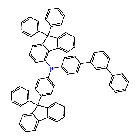 c1ccc(-c2cccc(-c3ccc(N(c4ccc(C5(c6ccccc6)c6ccccc6-c6ccccc65)cc4)c4cccc5c4-c4ccccc4C5(c4ccccc4)c4ccccc4)cc3)c2)cc1